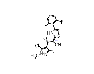 Cn1nc(Cl)c(C(=O)/C(C#N)=C2\NC(c3c(F)cccc3F)=CS2)c1Cl